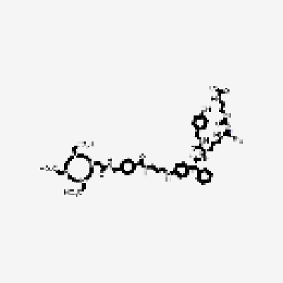 CCC(=O)NCCNC(=O)/N=C(/N)NCCC[C@@H](NC(=O)[C@H](c1ccccc1)c1ccc(NCCCNC(=O)C2CCC(CNC(=O)CN3CCN(CC(=O)O)CCN(CC(=O)O)CCN(CC(=O)O)CC3)CC2)cc1)C(=O)NCc1ccc(O)cc1